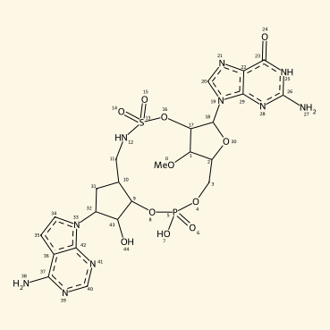 COC1C2COP(=O)(O)OC3C(CNS(=O)(=O)OC1C(n1cnc4c(=O)[nH]c(N)nc41)O2)CC(n1ccc2c(N)ncnc21)C3O